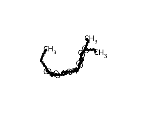 CC/C=C\CCCCOC(CCC(=O)OCc1ccc(CC(=O)OCCC2CCN(CCSSCCN3CCC(CCOC(=O)Cc4ccc(COC(=O)CCCCCCC/C=C\CCCCCCCC)cc4)CC3)CC2)cc1)OCCCC/C=C\CC